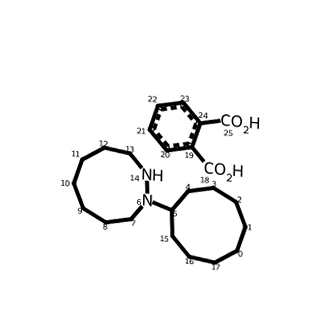 C1CCCCC(N2CCCCCCCN2)CCC1.O=C(O)c1ccccc1C(=O)O